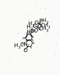 CN1C(=O)CCc2cc(BOC(C)(C)C(C)(C)P)ccc21